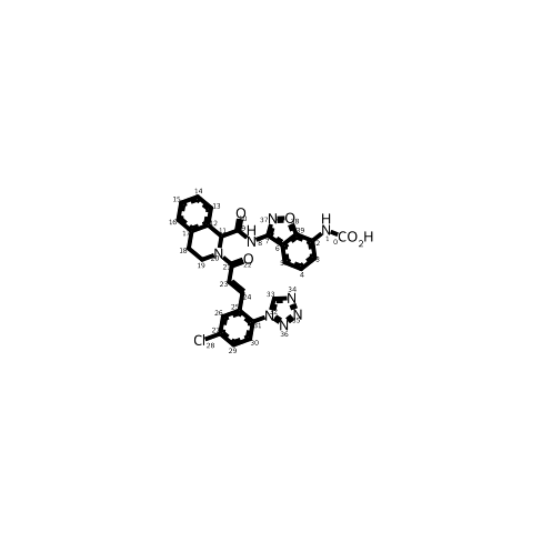 O=C(O)Nc1cccc2c(NC(=O)C3c4ccccc4CCN3C(=O)/C=C/c3cc(Cl)ccc3-n3cnnn3)noc12